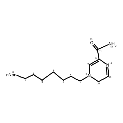 CCCCCCCCCCCCCCCCN1C=C(C(N)=O)N=CC1